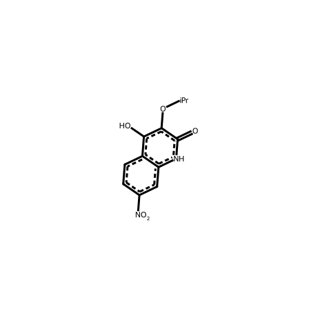 CC(C)Oc1c(O)c2ccc([N+](=O)[O-])cc2[nH]c1=O